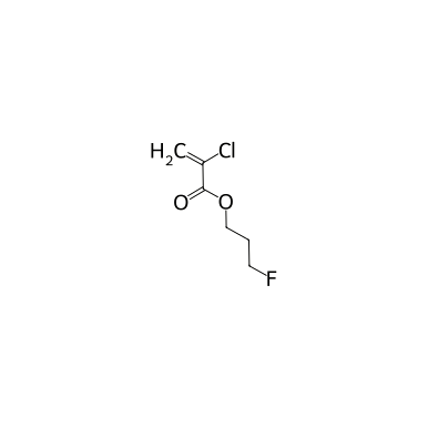 C=C(Cl)C(=O)OCCCF